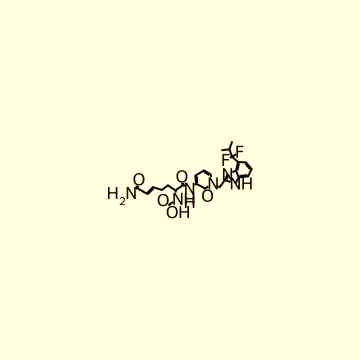 CC(C)C(F)(F)c1cccc2[nH]c(Cn3cccc(NC(=O)C(CCC=CC(N)=O)NC(=O)O)c3=O)nc12